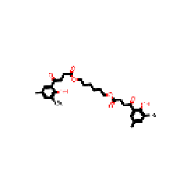 Cc1cc(C(=O)CCC(=O)OCCCCCCOC(=O)CCC(=O)c2cc(C)cc(C(C)(C)C)c2O)c(O)c(C(C)(C)C)c1